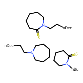 CCCCCCCCCCCCN1CCCCCC1.CCCCCCCCCCCCN1CCCCCC1=S.CCCCN1CCCCC1=S